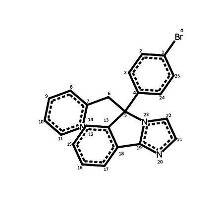 Brc1ccc(C2(Cc3ccccn3)c3ccccc3-c3nccn32)cc1